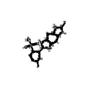 Cc1ccc(S(=O)(=O)O)c(-c2nc3cc4[nH]c(C)nc4cc3[nH]2)c1